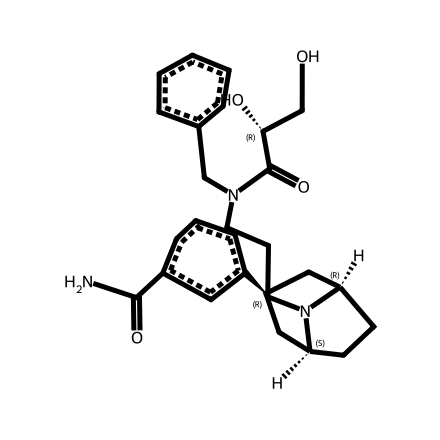 NC(=O)c1cccc([C@H]2C[C@H]3CC[C@@H](C2)N3CCCN(Cc2ccccc2)C(=O)[C@H](O)CO)c1